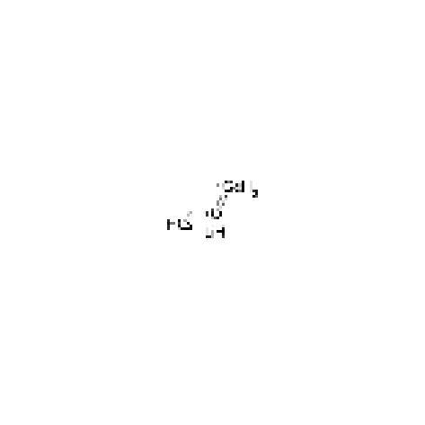 [CsH].[LiH].[O]=[GeH2]